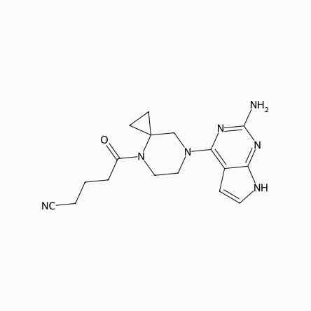 N#CCCCC(=O)N1CCN(c2nc(N)nc3[nH]ccc23)CC12CC2